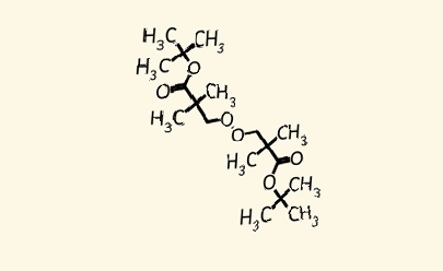 CC(C)(C)OC(=O)C(C)(C)COOCC(C)(C)C(=O)OC(C)(C)C